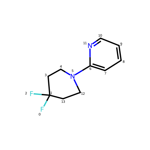 FC1(F)CCN(c2cc[c]cn2)CC1